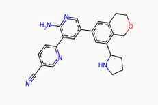 N#Cc1ccc(-c2cc(-c3cc4c(c(C5CCCN5)c3)COCC4)cnc2N)nc1